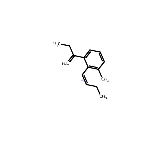 C=C(CC)c1cccc(C)c1/C=C\CC